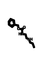 CCCNCCNC(=O)OCc1ccccc1